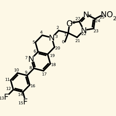 CC1(CN2CCc3nc(-c4ccc(F)c(F)c4)ccc3C2)Cn2cc([N+](=O)[O-])nc2O1